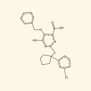 O=C(O)c1nc(CC2(c3cccc(Cl)c3)CCCC2)nc(O)c1OCc1ccccc1